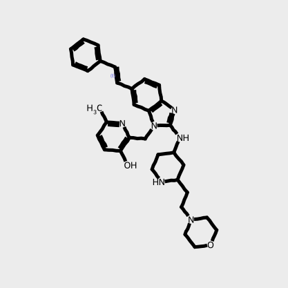 Cc1ccc(O)c(Cn2c(NC3CCNC(CCN4CCOCC4)C3)nc3ccc(/C=C/c4ccccc4)cc32)n1